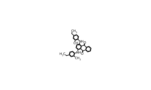 CCc1ccc(Nc2ccc(Nc3ccc(CC)cc3C)c3c2C(=O)c2ccccc2C3=O)c(C)c1